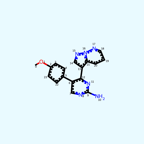 COc1ccc(-c2cnc(N)nc2-c2cnn3ncccc23)cc1